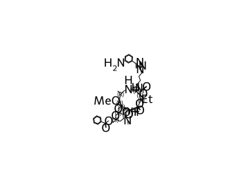 CC[C@H]1OC(=O)[C@@](C)(F)C(=O)[C@H](C)[C@@H](O[C@@H]2O[C@H](COC(=O)c3ccccc3)CC(N(C)C)C2O)[C@](C)(OC)C[C@@H](C)CN[C@H](C)[C@H]2N(CCCCn3cc(-c4cccc(N)c4)nn3)C(=O)O[C@]12C